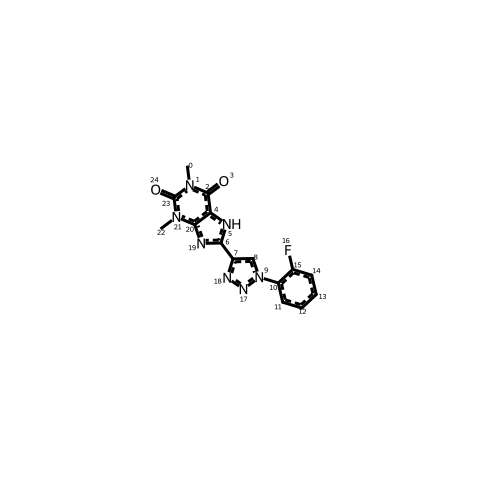 Cn1c(=O)c2[nH]c(-c3cn(-c4ccccc4F)nn3)nc2n(C)c1=O